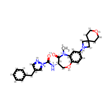 CN1C(=O)[C@@H](NC(=O)n2cc(Cc3ccccc3)cn2)COc2ccc(N3CC4(CCOCC4)C3)cc21